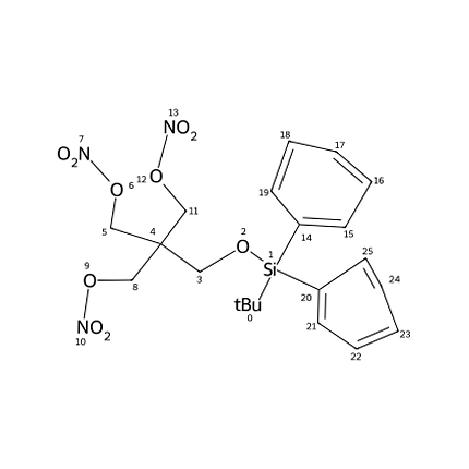 CC(C)(C)[Si](OCC(CO[N+](=O)[O-])(CO[N+](=O)[O-])CO[N+](=O)[O-])(c1ccccc1)c1ccccc1